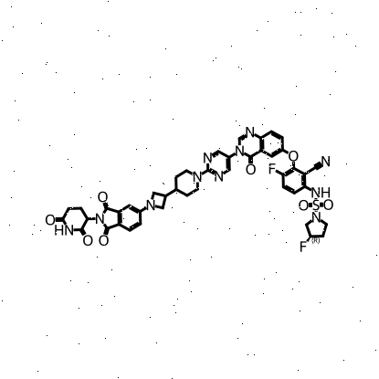 N#Cc1c(NS(=O)(=O)N2CC[C@@H](F)C2)ccc(F)c1Oc1ccc2ncn(-c3cnc(N4CCC(C5CN(c6ccc7c(c6)C(=O)N(C6CCC(=O)NC6=O)C7=O)C5)CC4)nc3)c(=O)c2c1